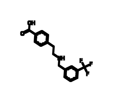 O=C(O)c1ccc(CCNCc2cccc(C(F)(F)F)c2)cc1